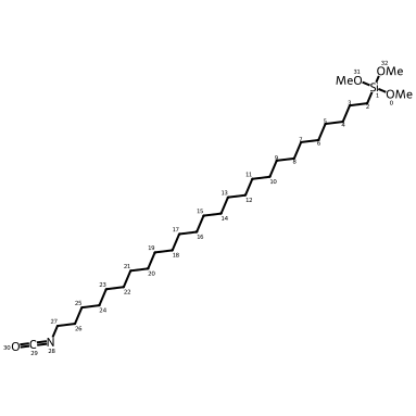 CO[Si](CCCCCCCCCCCCCCCCCCCCCCCCCCN=C=O)(OC)OC